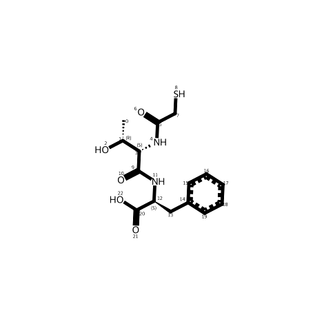 C[C@@H](O)[C@H](NC(=O)CS)C(=O)N[C@@H](Cc1ccccc1)C(=O)O